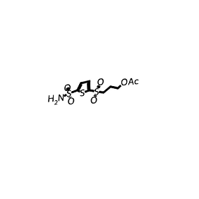 CC(=O)OCCCS(=O)(=O)c1ccc(S(N)(=O)=O)s1